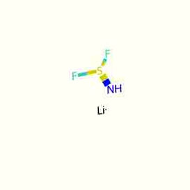 N=S(F)F.[Li]